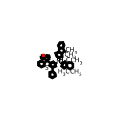 CC1(C)CCC(C)(C)c2cc(N(c3ccc4c(c3)C(C)(C)c3ccccc3-4)c3cc(-c4ccccc4)c4c(c3)C3(c5ccccc5S4)C4CC5CC(C4)C3C5)ccc21